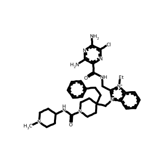 CC[n+]1c(CNC(=O)c2nc(Cl)c(N)nc2N)n(CC2(CCc3ccccc3)CCN(C(=O)NC3CCN(C)CC3)CC2)c2ccccc21